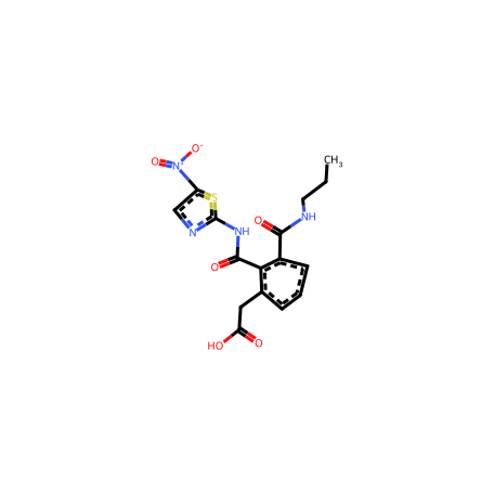 CCCNC(=O)c1cccc(CC(=O)O)c1C(=O)Nc1ncc([N+](=O)[O-])s1